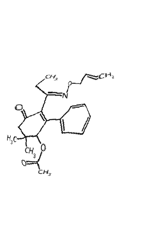 C=CCON=C(CC)C1=C(c2ccccc2)C(OC(C)=O)C(C)(C)CC1=O